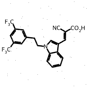 N#C/C(=C\c1cn(CCc2cc(C(F)(F)F)cc(C(F)(F)F)c2)c2ccccc12)C(=O)O